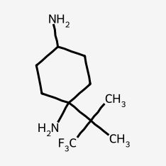 CC(C)(C(F)(F)F)C1(N)CCC(N)CC1